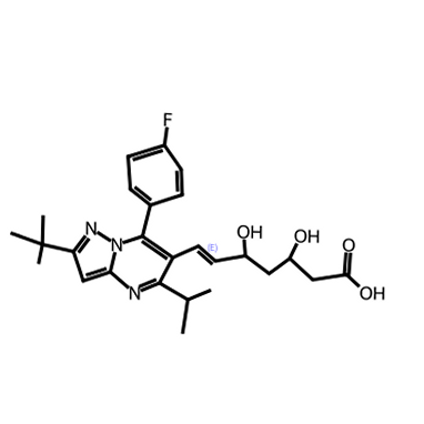 CC(C)c1nc2cc(C(C)(C)C)nn2c(-c2ccc(F)cc2)c1/C=C/C(O)CC(O)CC(=O)O